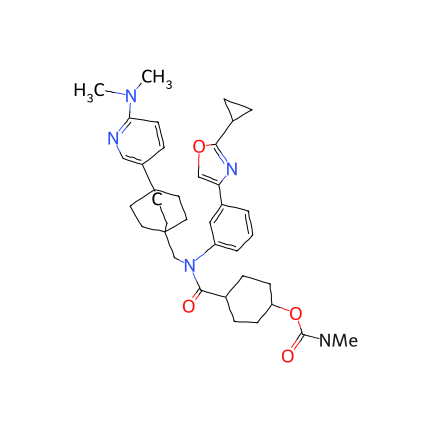 CNC(=O)OC1CCC(C(=O)N(CC23CCC(c4ccc(N(C)C)nc4)(CC2)CC3)c2cccc(-c3coc(C4CC4)n3)c2)CC1